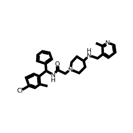 Cc1cc(Cl)ccc1C(NC(=O)CN1CCC(NCc2cccnc2C)CC1)c1ccccc1